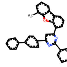 Cc1cccc2c1oc1c(-c3cc(-c4ccc(-c5ccccc5)cc4)nc(-c4ccccc4)n3)cccc12